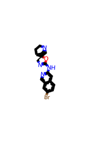 Brc1ccc2cc(NC3=NC[C@@]4(CN5CCC4CC5)O3)ncc2c1